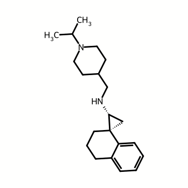 CC(C)N1CCC(CN[C@@H]2C[C@]23CCCc2ccccc23)CC1